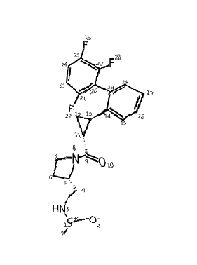 C[S+]([O-])NC[C@@H]1CCN1C(=O)[C@@H]1C[C@H]1c1ccccc1-c1c(F)ccc(F)c1F